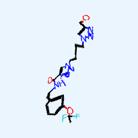 CC(F)(F)Oc1cccc(CNC(=O)c2cn(CCCCn3cc(C=O)nn3)nn2)c1